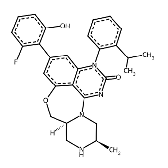 CC(C)c1ccccc1-n1c(=O)nc2c3c(cc(-c4c(O)cccc4F)cc31)OC[C@@H]1CN[C@H](C)CN21